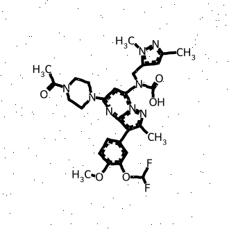 COc1ccc(-c2c(C)nn3c(N(Cc4cc(C)nn4C)C(=O)O)cc(N4CCN(C(C)=O)CC4)nc23)cc1OC(F)F